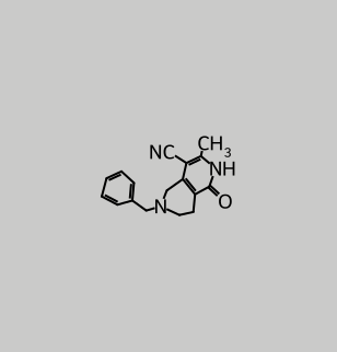 Cc1[nH]c(=O)c2c(c1C#N)CN(Cc1ccccc1)CC2